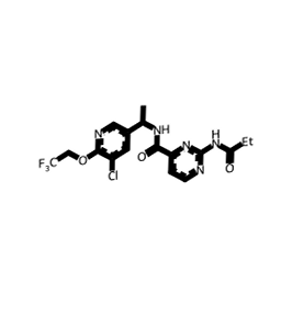 CCC(=O)Nc1nccc(C(=O)NC(C)c2cnc(OCC(F)(F)F)c(Cl)c2)n1